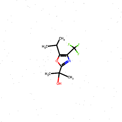 CC(C)c1oc(C(C)(C)O)nc1C(F)(F)F